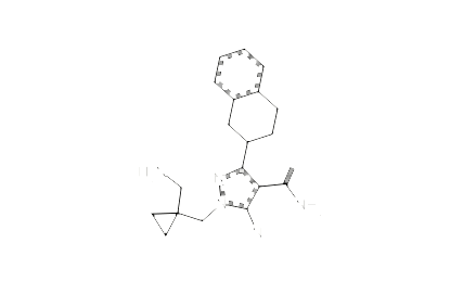 NCC1(Cn2nc(C3CCc4ccccc4C3)c(C(N)=O)c2N)CC1